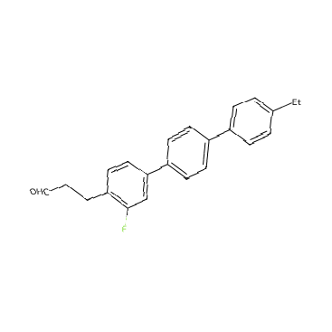 CCc1ccc(-c2ccc(-c3ccc(CCC=O)c(F)c3)cc2)cc1